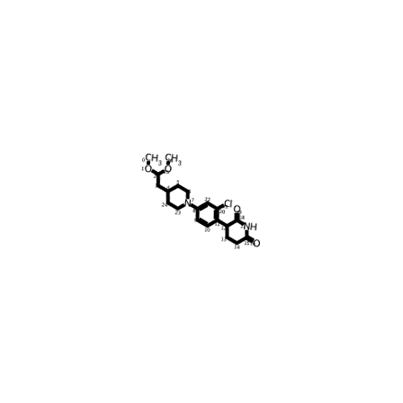 COC(CC1CCN(c2ccc(C3CCC(=O)NC3=O)c(Cl)c2)CC1)OC